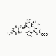 O=C([O-])c1cc(F)cc(C2=C(c3cc(Cl)cnc3OCc3ccc(C(F)(F)F)cc3F)CCC2)c1.[Na+]